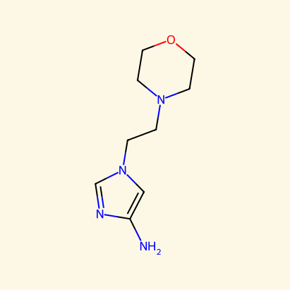 Nc1cn(CCN2CCOCC2)cn1